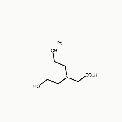 O=C(O)CN(CCO)CCO.[Pt]